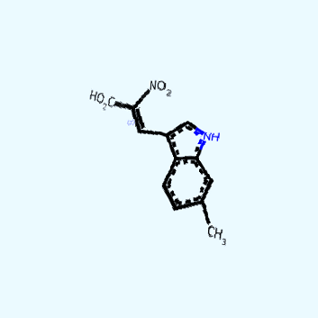 Cc1ccc2c(/C=C(/C(=O)O)[N+](=O)[O-])c[nH]c2c1